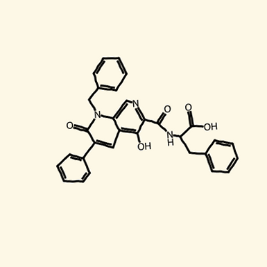 O=C(NC(Cc1ccccc1)C(=O)O)c1ncc2c(cc(-c3ccccc3)c(=O)n2Cc2ccccc2)c1O